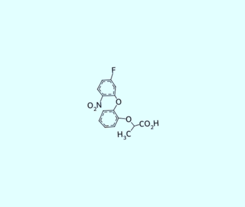 CC(Oc1ccccc1Oc1cc(F)ccc1[N+](=O)[O-])C(=O)O